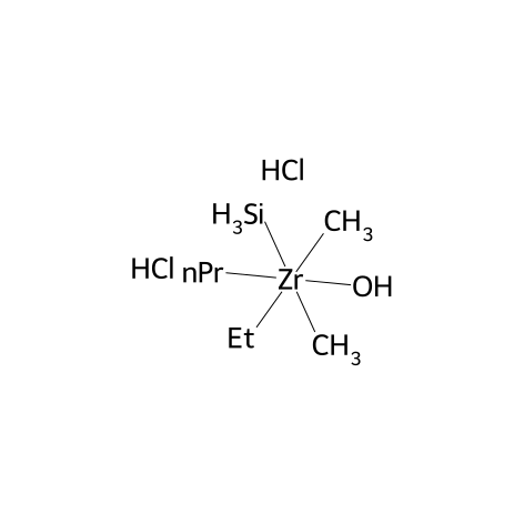 CC[CH2][Zr]([CH3])([CH3])([OH])([SiH3])[CH2]C.Cl.Cl